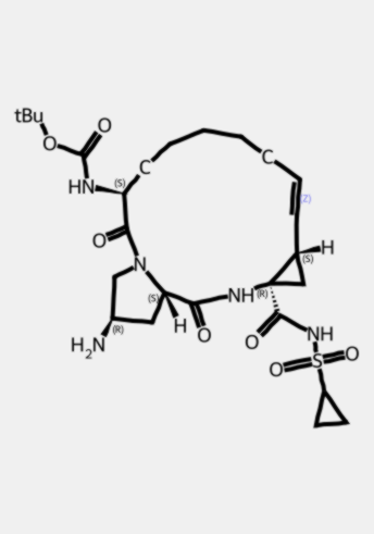 CC(C)(C)OC(=O)N[C@H]1CCCCC/C=C\[C@@H]2C[C@@]2(C(=O)NS(=O)(=O)C2CC2)NC(=O)[C@@H]2C[C@@H](N)CN2C1=O